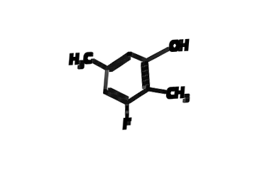 Cc1cc(O)c(C)c(F)c1